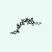 O=C(O)c1cn(C2CC2)c2c3c(c(F)cc2c1=O)N1C[C@](O)(COc2ccc(N4C[C@H](COC(=O)C5CCNCC5)OC4=O)cc2F)C[C@H]1CO3